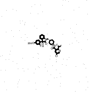 COc1ccc(C2(O)C(=O)N(C[C@H]3CC[C@H](NC(=O)c4cc(Cl)cnc4C(F)F)CC3)c3ccccc32)c(F)c1